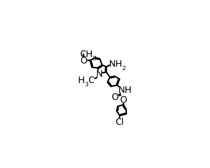 CCn1c(-c2ccc(NC(=O)Oc3ccc(Cl)cc3)cc2)c(N)c2ccc(OC)cc21